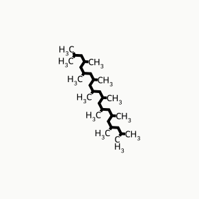 CC(C)CC(C)CC(C)CC(C)CC(C)CC(C)CC(C)CC(C)CC(C)CC(C)C